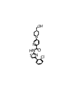 O=C(Nc1nc(-c2ccccc2Cl)cs1)c1ccc(N2CCC(CO)CC2)cn1